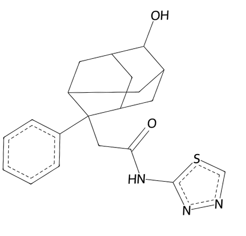 O=C(CC1(c2ccccc2)C2CC3CC1CC(C2)C3O)Nc1nncs1